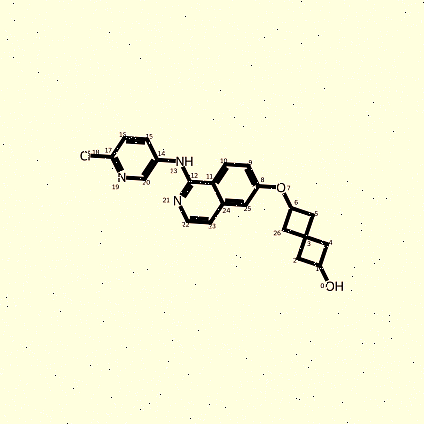 OC1CC2(C1)CC(Oc1ccc3c(Nc4ccc(Cl)nc4)nccc3c1)C2